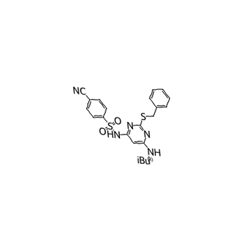 CC[C@@H](C)Nc1cc(NS(=O)(=O)c2ccc(C#N)cc2)nc(SCc2ccccc2)n1